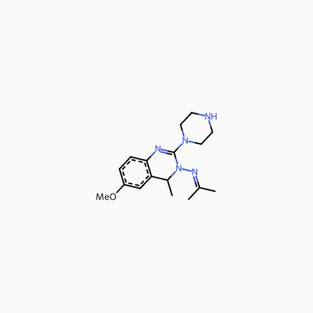 COc1ccc2c(c1)C(C)N(N=C(C)C)C(N1CCNCC1)=N2